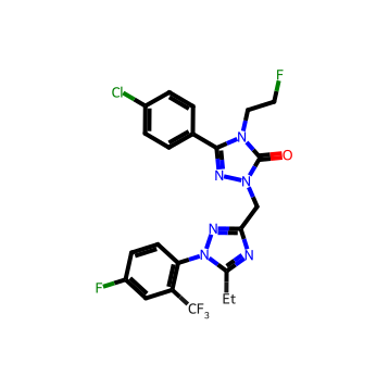 CCc1nc(Cn2nc(-c3ccc(Cl)cc3)n(CCF)c2=O)nn1-c1ccc(F)cc1C(F)(F)F